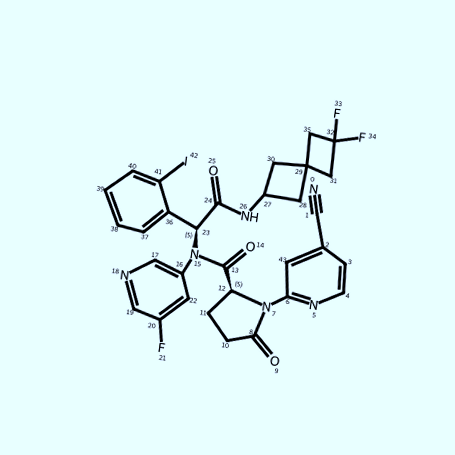 N#Cc1ccnc(N2C(=O)CC[C@H]2C(=O)N(c2cncc(F)c2)[C@H](C(=O)NC2CC3(C2)CC(F)(F)C3)c2ccccc2I)c1